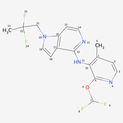 Cc1ccnc(OC(F)F)c1Nc1nccc2c1ccn2CC(C)(F)F